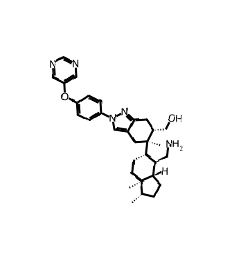 C[C@H]1CC[C@H]2[C@H](CN)[C@@H]([C@@]3(C)Cc4cn(-c5ccc(Oc6cncnc6)cc5)nc4C[C@@H]3CO)CC[C@]12C